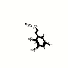 CCOC(=O)CCc1c(F)c(F)cc(F)c1F